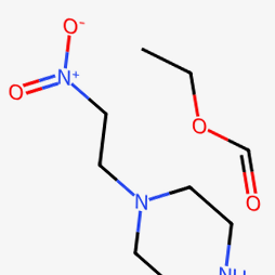 CCOC=O.O=[N+]([O-])CCN1CCNCC1